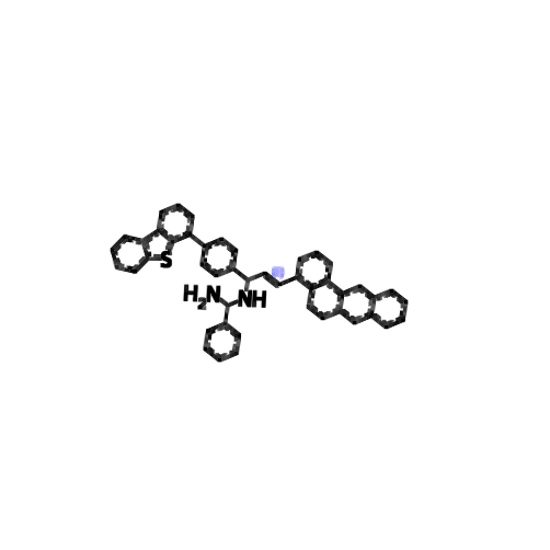 NC(NC(/C=C/c1cccc2c1ccc1cc3ccccc3cc12)c1ccc(-c2cccc3c2sc2ccccc23)cc1)c1ccccc1